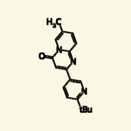 Cc1ccc2nc(-c3ccc(C(C)(C)C)nc3)cc(=O)n2c1